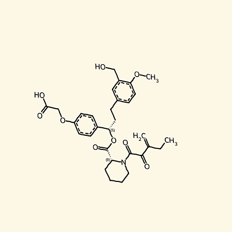 C=C(CC)C(=O)C(=O)N1CCCC[C@@H]1C(=O)O[C@@H](CCc1ccc(OC)c(CO)c1)c1ccc(OCC(=O)O)cc1